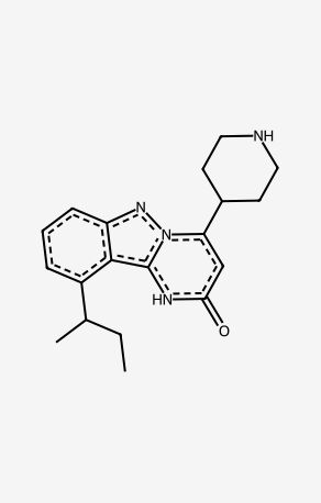 CCC(C)c1cccc2nn3c(C4CCNCC4)cc(=O)[nH]c3c12